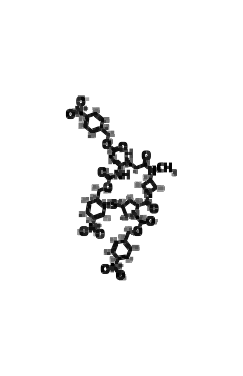 CN(C(=O)CN/C(=N\C(=O)OCc1ccc([N+](=O)[O-])cc1)NC(=O)OCc1ccc([N+](=O)[O-])cc1)C1CN(C(=O)[C@@H]2C[C@H](S)CN2C(=O)OCc2ccc([N+](=O)[O-])cc2)C1